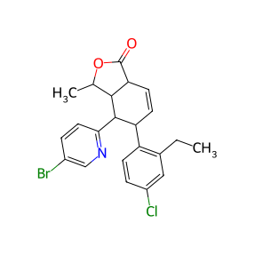 CCc1cc(Cl)ccc1C1C=CC2C(=O)OC(C)C2C1c1ccc(Br)cn1